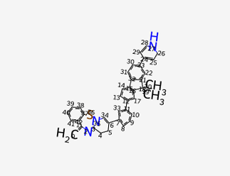 C=C1N=C2CCC(c3cccc(-c4ccc5c(c4)C(C)(C)c4cc(C6=CCNC=C6)ccc4-5)c3)=CN2Sc2ccccc21